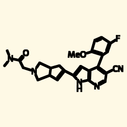 COc1ccc(F)cc1-c1c(C#N)cnc2[nH]c(C3=CC4CN(CC(=O)N(C)C)CC4C3)cc12